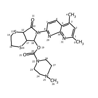 Cc1cc(C)c2ccc(N3C(=O)C4SCCSC4C3OC(=O)N3CCN(C)CC3)nc2n1